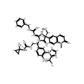 Cn1c(=O)ccc2cc([C@@]3(CC(C)(C)C)N/C(=N\C(=O)OCc4ccccc4)N([C@H](COC(=O)NC4(C(F)(F)F)CC4)c4ccc(Cl)c(-n5ncnc5C(F)F)c4)C3=O)ccc21